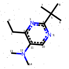 CCc1nc(C(C)(C)C)ncc1N(C)C